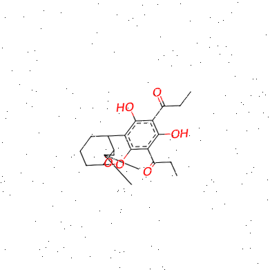 CCC(=O)c1c(O)c(C(=O)CC)c2c(c1O)C1CCCC3(O2)OC(C)(C)CC13